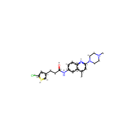 Cc1cc(N2CCN(C)CC2)nc2ccc(NC(=O)CCc3csc(Cl)c3)cc12